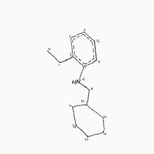 CCc1ccccc1NCC1CCCCC1